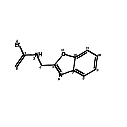 C=C(CC)NCc1nc2ccccc2o1